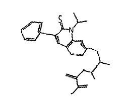 C=C(C)C(=C)CC(C)C(C)Cc1ccc2cc(-c3ccccc3)c(=S)n(C(C)C)c2c1